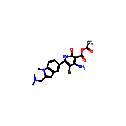 CCc1c(-c2ccc3c(c2)cc(CN(C)C)n3C)[nH]c(=O)c(C(=O)OC(=O)C(F)(F)F)c1N